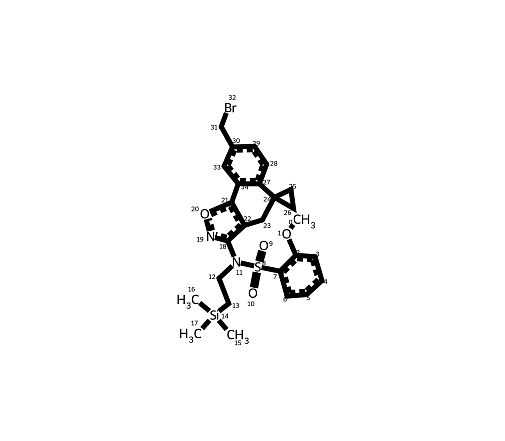 COc1ccccc1S(=O)(=O)N(CC[Si](C)(C)C)c1noc2c1CC1(CC1)c1ccc(CBr)cc1-2